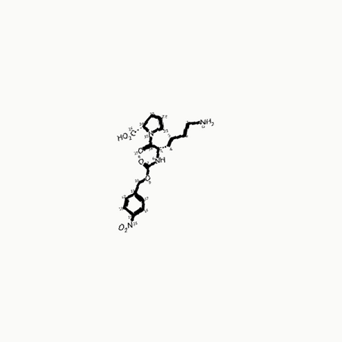 NCCCC[C@H](NC(=O)OCc1ccc([N+](=O)[O-])cc1)C(=O)N1CCC[C@H]1C(=O)O